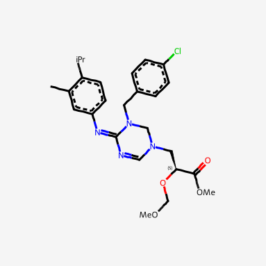 COCO[C@@H](CN1C=NC(=Nc2ccc(C(C)C)c(C)c2)N(Cc2ccc(Cl)cc2)C1)C(=O)OC